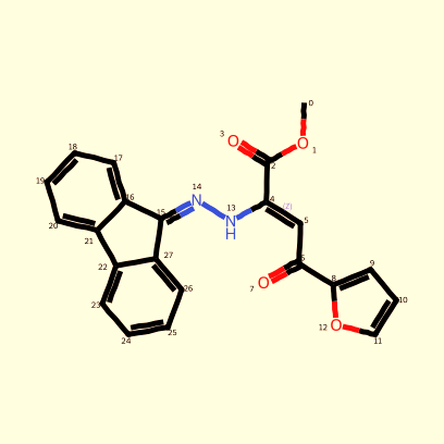 COC(=O)/C(=C/C(=O)c1ccco1)NN=C1c2ccccc2-c2ccccc21